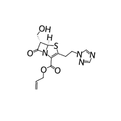 C=CCOC(=O)C1=C(CCn2cncn2)S[C@@H]2[C@@H](CO)C(=O)N12